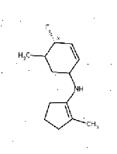 CC1=C(NC2C=C[C@@H](F)C(C)C2)CCC1